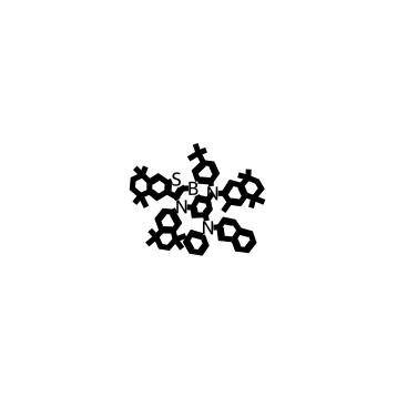 Cc1cc2c(cc1N1c3ccc(C(C)(C)C)cc3B3c4sc5cc6c(cc5c4N(c4ccc5c(c4)C(C)(C)CCC5(C)C)c4cc(N(c5ccccc5)c5ccc7ccccc7c5)cc1c43)C(C)(C)CCC6(C)C)C(C)(C)CCC2(C)C